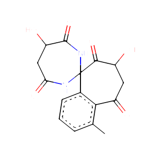 Cc1cccc2c1C(=O)CC(O)C(=O)C21NC(=O)CC(O)C(=O)N1